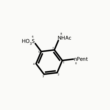 CCCCCc1cccc(S(=O)(=O)O)c1NC(C)=O